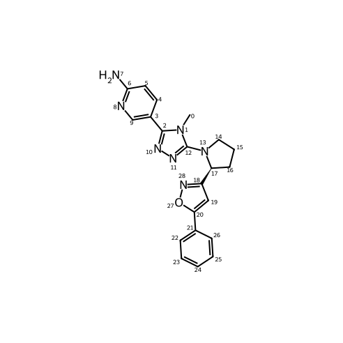 Cn1c(-c2ccc(N)nc2)nnc1N1CCC[C@H]1c1cc(-c2ccccc2)on1